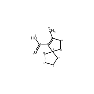 CC1=C(C(=O)O)C2(CCCC2)CC1